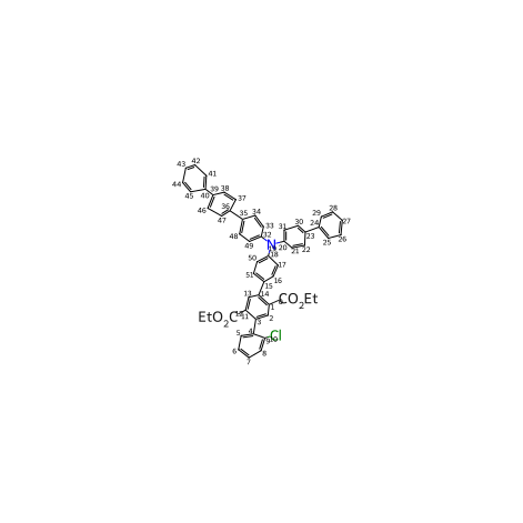 CCOC(=O)c1cc(-c2ccccc2Cl)c(C(=O)OCC)cc1-c1ccc(N(c2ccc(-c3ccccc3)cc2)c2ccc(-c3ccc(-c4ccccc4)cc3)cc2)cc1